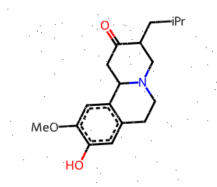 COc1cc2c(cc1O)CCN1CC(CC(C)C)C(=O)CC21